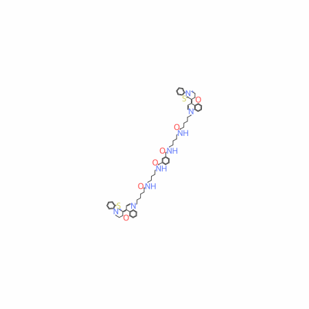 O=C(CCCCCN1C=CC2=C3c4sc5ccccc5[n+]4CCC3Oc3cccc1c32)NCCCCCNC(=O)c1cccc(C(=O)NCCCCCNC(=O)CCCCCN2C=CC3=C4c5sc6ccccc6[n+]5CCC4Oc4cccc2c43)c1